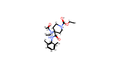 CCOC(=O)N1CCC(C(=O)Nc2c(C)cccc2C)(N(CC)C(C)=O)CC1